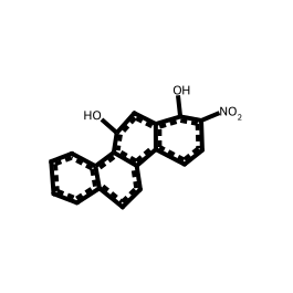 O=[N+]([O-])c1ccc2c(cc(O)c3c4ccccc4ccc23)c1O